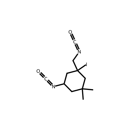 CC1(C)CC(N=C=O)CC(I)(CN=C=O)C1